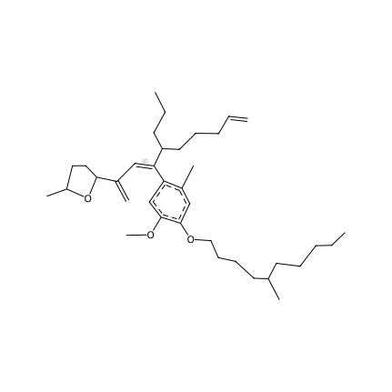 C=CCCCC(CCC)/C(=C/C(=C)C1CCC(C)O1)c1cc(OC)c(OCCCCC(C)CCCCC)cc1C